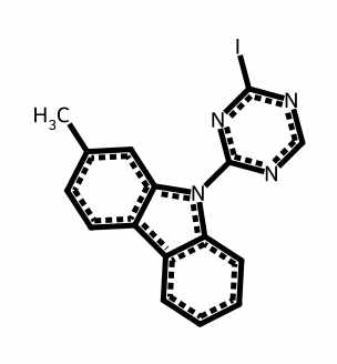 Cc1ccc2c3ccccc3n(-c3ncnc(I)n3)c2c1